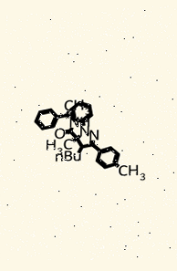 CCCCC1C(c2ccc(C)cc2)=NN(c2ccccc2)C1(C)C(=O)N[C@H](C)c1ccccc1